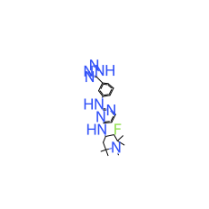 CN1C(C)(C)CC(Nc2ccnc(Nc3cccc(-c4nnn[nH]4)c3)n2)C(F)C1(C)C